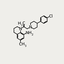 C=C(CN1CCC(c2ccc(Cl)cc2)CC1)N1CCCc2cc(C)cc(N)c21